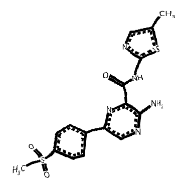 Cc1cnc(NC(=O)c2nc(-c3ccc(S(C)(=O)=O)cc3)cnc2N)s1